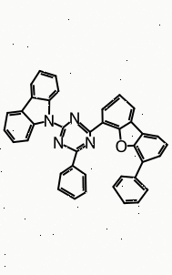 c1ccc(-c2nc(-c3cccc4c3oc3c(-c5ccccc5)cccc34)nc(-n3c4ccccc4c4ccccc43)n2)cc1